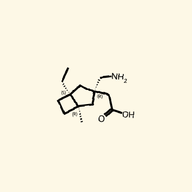 CC[C@@]12CC[C@]1(C)C[C@](CN)(CC(=O)O)C2